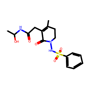 [CH2]C(O)NC(=O)CC1=C(C)CCN(NS(=O)(=O)c2ccccc2)C1=O